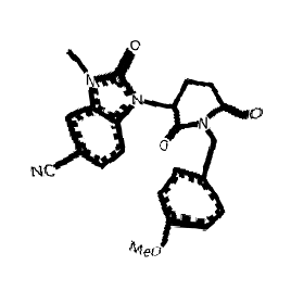 COc1ccc(CN2C(=O)CCC(n3c(=O)n(C)c4cc(C#N)ccc43)C2=O)cc1